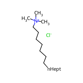 CCCCCCCCCCCCCC[N+](C)(C)C.[Cl-]